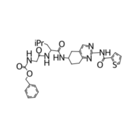 CC(C)CC(NC(=O)CNC(=O)OCc1ccccc1)C(=O)NC1CCc2nc(NC(=O)c3cccs3)ncc2C1